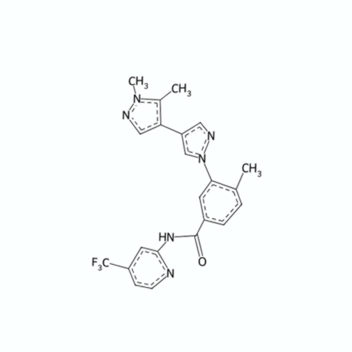 Cc1ccc(C(=O)Nc2cc(C(F)(F)F)ccn2)cc1-n1cc(-c2cnn(C)c2C)cn1